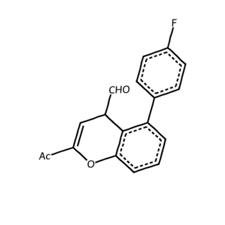 CC(=O)C1=CC(C=O)c2c(cccc2-c2ccc(F)cc2)O1